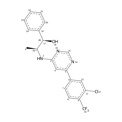 C[C@H](Nc1cc(-c2ccc(C(F)(F)F)c(Cl)c2)ncn1)[C@H](O)c1ccccc1